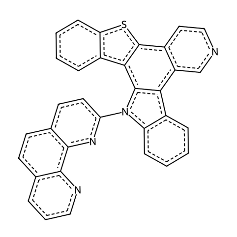 c1cnc2c(c1)ccc1ccc(-n3c4ccccc4c4c5cnccc5c5sc6ccccc6c5c43)nc12